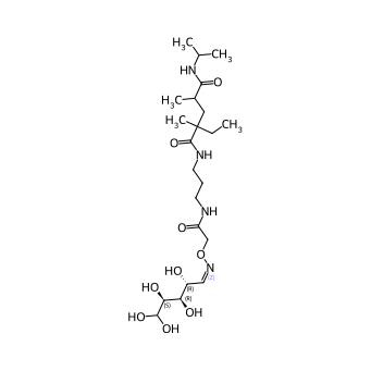 CCC(C)(CC(C)C(=O)NC(C)C)C(=O)NCCCNC(=O)CO/N=C\[C@@H](O)[C@@H](O)[C@H](O)C(O)O